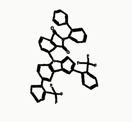 O=C1c2cccc(-n3c4ccc(-c5ccccc5C(F)(F)F)cc4c4cc(-c5ccccc5C(F)(F)F)ccc43)c2C(=O)N1c1ccccc1-c1ccccc1